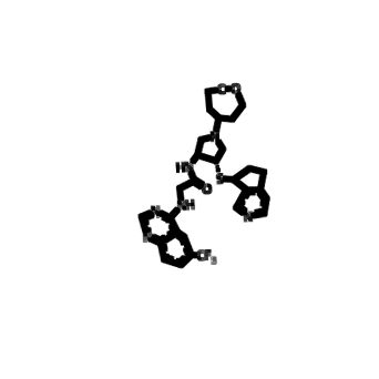 O=C(CNc1ncnc2ccc(C(F)(F)F)cc12)NC1CN(C2CCCOCC2)C[C@@H]1SC1CCc2ccncc21